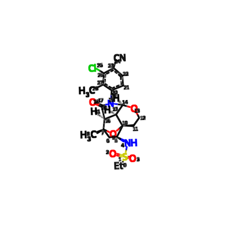 CCS(=O)(=O)N[C@H]1C[C@@]2(C)O[C@@]13CCO[C@H]1[C@@H]3[C@@H]2C(=O)N1c1ccc(C#N)c(Cl)c1C